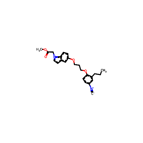 [C-]#[N+]c1ccc(OCCCOc2ccc3c(ccn3CC(=O)OC)c2)c(CCC)c1